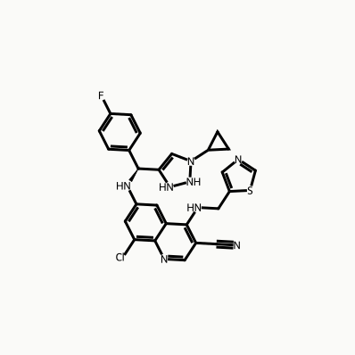 N#Cc1cnc2c(Cl)cc(N[C@H](C3=CN(C4CC4)NN3)c3ccc(F)cc3)cc2c1NCc1cncs1